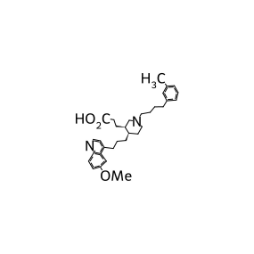 COc1ccc2nccc(CCC[C@@H]3CCN(CCCCc4cccc(C)c4)C[C@@H]3CCC(=O)O)c2c1